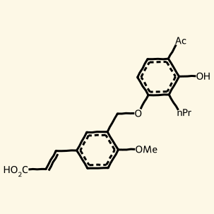 CCCc1c(OCc2cc(/C=C/C(=O)O)ccc2OC)ccc(C(C)=O)c1O